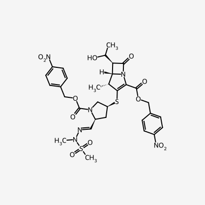 CC(O)[C@H]1C(=O)N2C(C(=O)OCc3ccc([N+](=O)[O-])cc3)=C(S[C@H]3C[C@@H](C=NN(C)S(C)(=O)=O)N(C(=O)OCc4ccc([N+](=O)[O-])cc4)C3)[C@H](C)[C@H]12